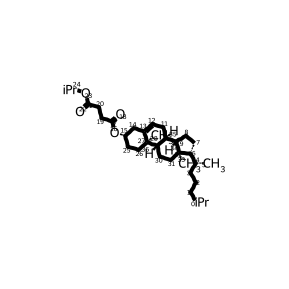 CC(C)CCC[C@@H](C)[C@H]1CC[C@H]2[C@@H]3CC=C4C[C@@H](OC(=O)CCC(=O)OC(C)C)CC[C@]4(C)[C@H]3CC[C@]12C